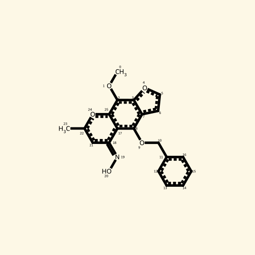 COc1c2occc2c(OCc2ccccc2)c2c(=NO)cc(C)oc12